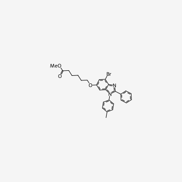 COC(=O)CCCCCOc1cc(Br)c2nc(-c3ccccc3)n(-c3ccc(C)cc3)c2c1